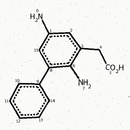 Nc1cc(CC(=O)O)c(N)c(-c2ccccc2)c1